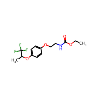 CCOC(=O)NCCOc1ccc(OC(C)C(F)(F)F)cc1